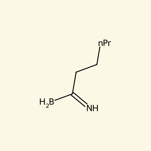 BC(=N)CCCCC